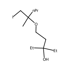 CCCC(C)(CI)OCCC(O)(CC)CC